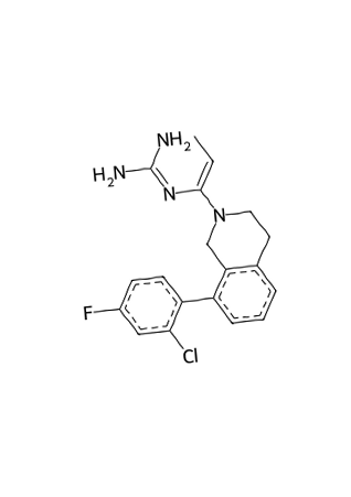 CC=C(N=C(N)N)N1CCc2cccc(-c3ccc(F)cc3Cl)c2C1